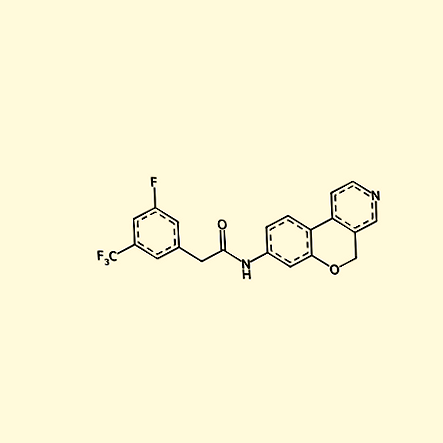 O=C(Cc1cc(F)cc(C(F)(F)F)c1)Nc1ccc2c(c1)OCc1cnccc1-2